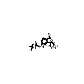 CC(C)(C)OC(=O)Nc1ccc2c(c1)C(CO)(CO)OC2=O